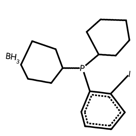 B.Ic1ccccc1P(C1CCCCC1)C1CCCCC1